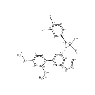 COc1ncc(-c2cc([C@@H]3[C@@H](c4ccc(F)c(F)c4)C3(F)F)c3nccn3n2)c(OC)n1